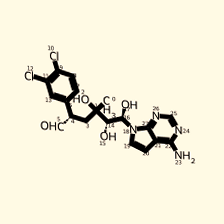 CC(O)(C[C@H](C=O)c1ccc(Cl)c(Cl)c1)[C@@H](O)[C@@H](O)n1ccc2c(N)ncnc21